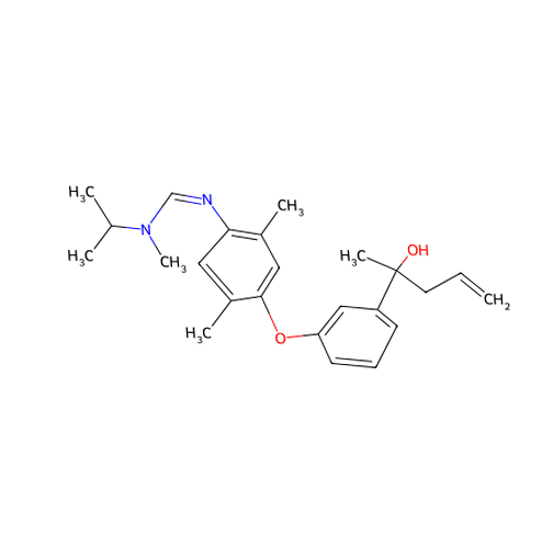 C=CCC(C)(O)c1cccc(Oc2cc(C)c(/N=C\N(C)C(C)C)cc2C)c1